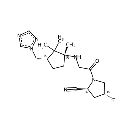 CC1(C)[C@@H](Cn2cncn2)CC[C@@]1(C)NCC(=O)N1C[C@H](F)C[C@H]1C#N